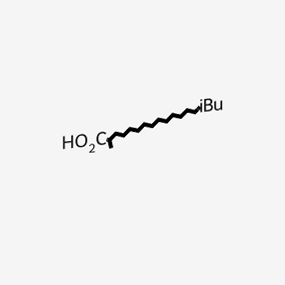 CCC(C)CCCCCCCCCCCCC(C)C(=O)O